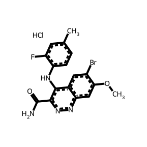 COc1cc2nnc(C(N)=O)c(Nc3ccc(C)cc3F)c2cc1Br.Cl